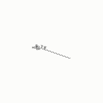 CCCCCCCCCCCCCCCCCC[S+]([O-])CC(COP(=O)(O)O)OC